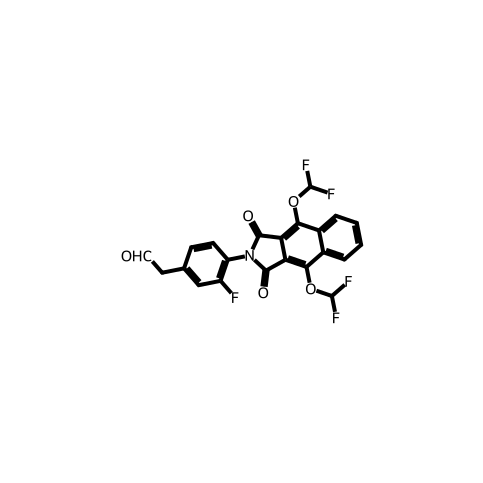 O=CCc1ccc(N2C(=O)c3c(c(OC(F)F)c4ccccc4c3OC(F)F)C2=O)c(F)c1